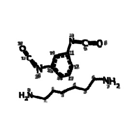 NCCCCCCN.O=C=Nc1cccc(N=C=O)c1